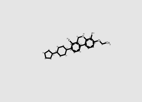 CCOc1ccc2c(c1F)OCc1c-2ccc(C2CCC(C3CCCC3)CC2)c1F